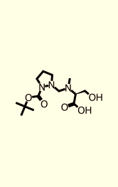 CN(CN1CCCN1C(=O)OC(C)(C)C)[C@@H](CO)C(=O)O